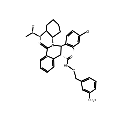 C[S+]([O-])NC1CCCC[C@@H]1N1C(=O)c2ccccc2[C@@H](C(=O)NOCc2cccc(C(=O)O)c2)[C@@H]1c1ccc(Cl)cc1Cl